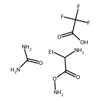 CCC(N)C(=O)ON.NC(N)=O.O=C(O)C(F)(F)F